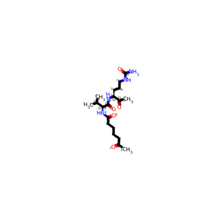 CC(=O)CCCCC(=O)N[C@H](C(=O)N[C@@H](CCCNC(N)=O)C(C)=O)C(C)C